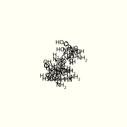 C[C@@H](O)[C@H](N)C(=O)N[C@@H](Cc1ccc(O)cc1)C(=O)N[C@H](C(=O)N[C@@H](CC(N)=O)C(=O)N[C@@H](CCCNC(=N)N)C(=O)N[C@@H](CCN)C(=O)N[C@H](C(=O)N[C@H](CCN)C(=O)N[C@@H](CCCCN)C(=O)N[C@@H](CS)C(=O)N[C@@H](CCN)C(=O)N[C@H](C(=O)N[C@@H](Cc1ccc(O)cc1)C(=O)O)[C@@H](C)O)[C@@H](C)O)C(C)(C)S